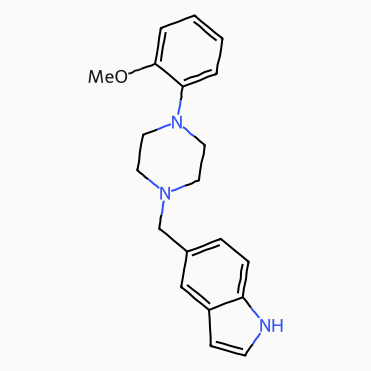 COc1ccccc1N1CCN(Cc2ccc3[nH]ccc3c2)CC1